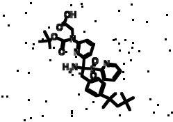 CC(C)(C)CC(C)(C)c1ccc(CC(N)(c2cccc(N(CC(=O)O)C(=O)OC(C)(C)C)n2)S(=O)(=O)c2ccccn2)cc1